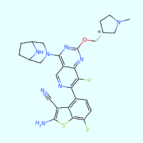 CN1CC[C@@H](COc2nc(N3CC4CCC(C3)N4)c3cnc(-c4ccc(F)c5sc(N)c(C#N)c45)c(F)c3n2)C1